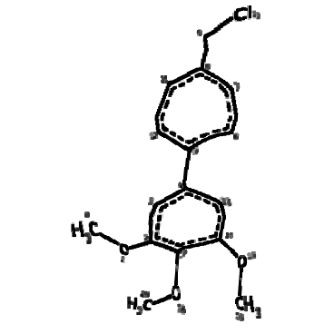 COc1cc(-c2ccc(CCl)cc2)cc(OC)c1OC